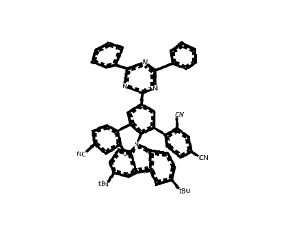 CC(C)(C)c1ccc2c(c1)c1cc(C(C)(C)C)ccc1n2-c1c(-c2ccc(C#N)cc2C#N)cc(-c2nc(-c3ccccc3)nc(-c3ccccc3)n2)cc1-c1ccc(C#N)cc1C#N